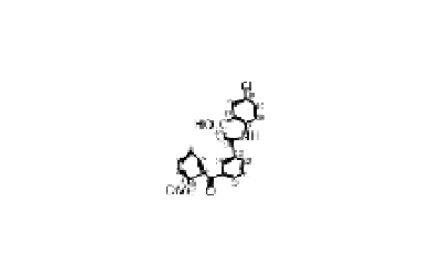 COc1ccccc1C(=O)c1cccc(C(=O)Nc2ccc(Cl)cc2C(=O)O)c1